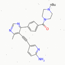 CCCCN1CCN(C(=O)c2ccc(-c3ncnc(C)c3C#Cc3ccc(N)nc3)cc2)CC1